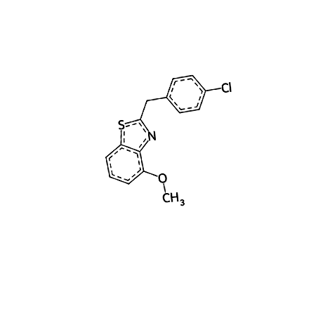 COc1cccc2sc(Cc3ccc(Cl)cc3)nc12